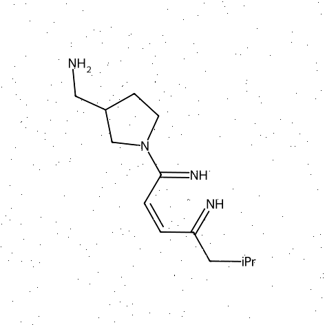 CC(C)CC(=N)/C=C\C(=N)N1CCC(CN)C1